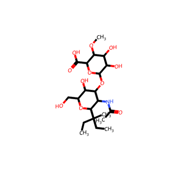 CCC(C)(CC)C1OC(CO)C(O)C(OC2OC(C(=O)O)C(OC)C(O)C2O)C1NC(C)=O